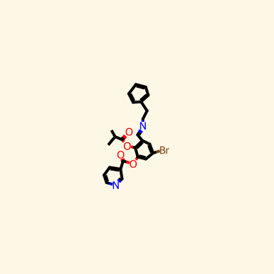 CC(C)C(=O)Oc1c(C=NCCc2ccccc2)cc(Br)cc1OC(=O)c1cccnc1